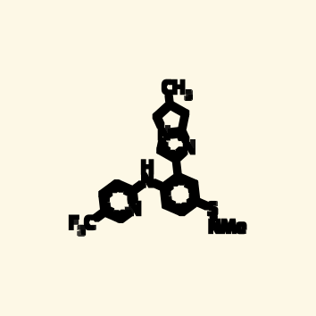 CNSc1ccc(Nc2ccc(C(F)(F)F)cn2)c(-c2cn3c(n2)CC(C)C3)c1